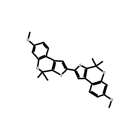 COc1ccc2c(c1)OC(C)(C)c1sc(-c3cc4c(s3)C(C)(C)Oc3cc(OC)ccc3-4)cc1-2